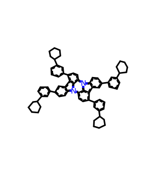 c1cc(-c2ccc3c(c2)c2c(-c4cccc(C5CCCCC5)c4)ccc4c2n3c2ccc(-c3cccc(C5CCCCC5)c3)c3c5cc(-c6cccc(C7CCCCC7)c6)ccc5n4c32)cc(C2CCCCC2)c1